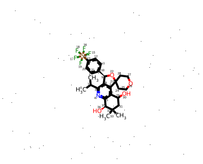 CC(C)c1nc2c(c3c1[C@@H](c1ccc(S(F)(F)(F)(F)F)cc1)OC31CCOCC1)C(O)CC(C)(C)[C@H]2O